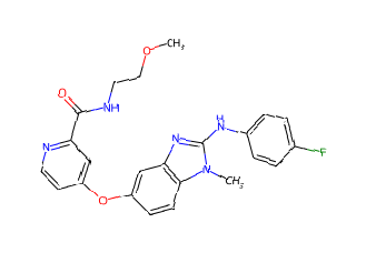 COCCNC(=O)c1cc(Oc2ccc3c(c2)nc(Nc2ccc(F)cc2)n3C)ccn1